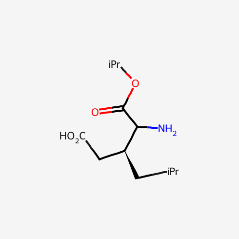 CC(C)C[C@@H](CC(=O)O)C(N)C(=O)OC(C)C